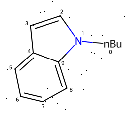 CCCCn1c[c]c2cc[c]cc21